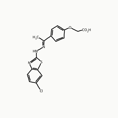 C/C(=N\Nc1nc2ccc(Cl)cc2s1)c1ccc(OCC(=O)O)cc1